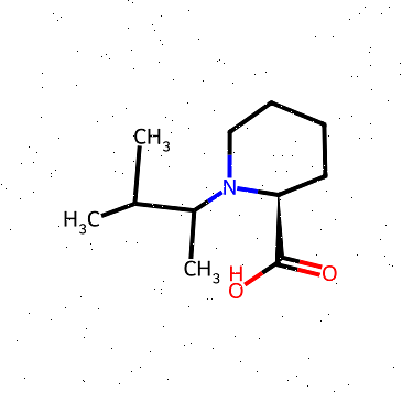 CC(C)C(C)N1CCCC[C@H]1C(=O)O